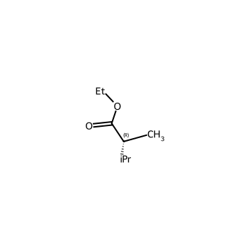 CCOC(=O)[C@H](C)C(C)C